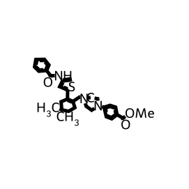 COC(=O)c1ccc(N2CCN(CC3=C(c4cc(NC(=O)c5ccccc5)cs4)CC(C)(C)CC3)CC2)cc1